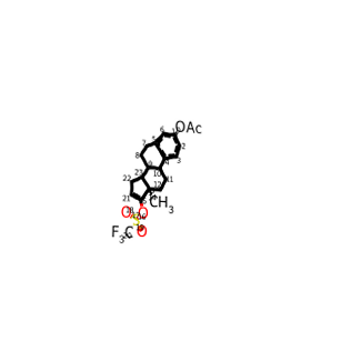 CC(=O)Oc1ccc2c(c1)CCC1C2CC[C@]2(C)C(OS(=O)(=O)C(F)(F)F)=CCC12